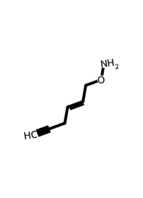 C#CCC=CCON